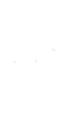 CCCC(=O)N1CCN(C(C)CC)CC1